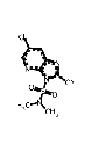 CN(C)S(=O)(=O)n1c(C#N)nc2cc(Cl)cnc21